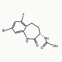 O=C(O)N[C@H]1CCc2c(F)cc(Br)cc2NC1=O